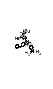 CN(C)[C@H]1CC[C@H](Oc2nc3c(c(N4CCN(C(=O)OC(C)(C)C)C(CC#N)C4)n2)CCN(Cc2ccccc2)C3)CC1